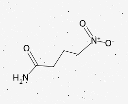 NC(=O)CCC[N+](=O)[O-]